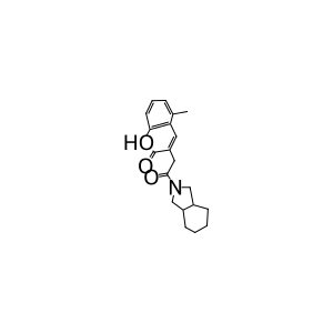 Cc1cccc(C)c1/C=C(/CC(=O)N1CC2CCCCC2C1)C(=O)O